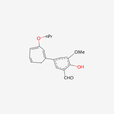 CCCOC1=CC=CCC(c2cc(C=O)c(O)c(OC)c2)=C1